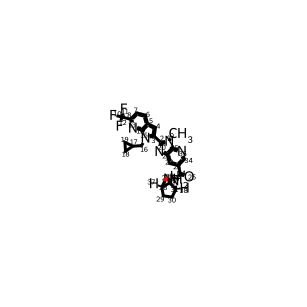 Cn1c(-c2cc3ccc(C(F)(F)F)nc3n2CC2CC2)nc2cc(C(=O)N3C[C@H]4CC[C@@H]3[C@@H]4N)cnc21